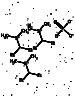 CCC(CC)[Si+](C)C.CCC(CC)[Si+](C)C.CCC(CC)[Si+](C)C.O=P([O-])([O-])[O-]